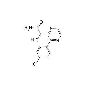 CC(C(N)=O)c1nccnc1-c1ccc(Cl)cc1